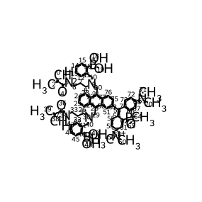 C=C(C)C(=O)NCCCN(Cc1ccccc1B(O)O)Cc1c2ccccc2c(CN(CCCNC(=O)C(=C)C)Cc2ccccc2B(O)O)c2cc(C3=C4C=CC(=[N+](C)C)C=C4P(C)(=O)c4cc(N(C)C)ccc43)ccc12